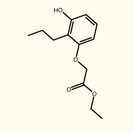 CCCc1c(O)cccc1OCC(=O)OCC